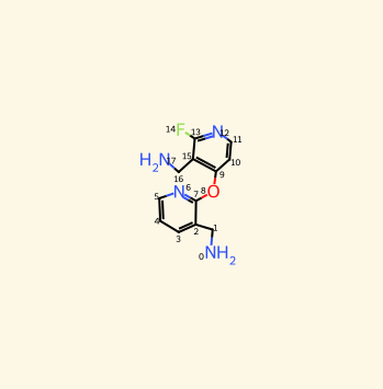 NCc1cccnc1Oc1ccnc(F)c1CN